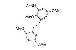 COc1ccc(OC)c(CCc2cc(OC)cc(NC(C)=O)c2OC)c1